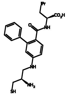 CC(C)C[C@H](NC(=O)c1ccc(NC[C@@H](N)CS)cc1-c1ccccc1)C(=O)O